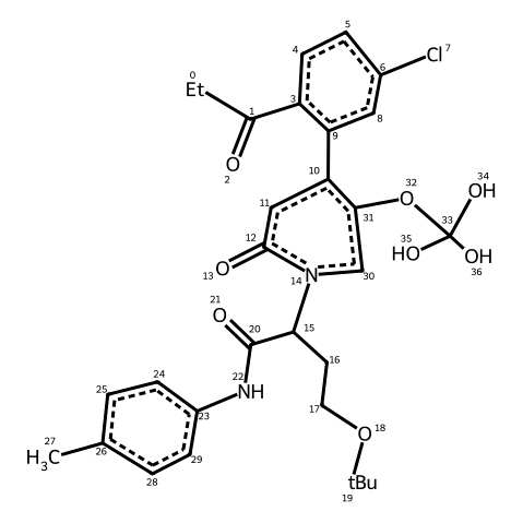 CCC(=O)c1ccc(Cl)cc1-c1cc(=O)n(C(CCOC(C)(C)C)C(=O)Nc2ccc(C)cc2)cc1OC(O)(O)O